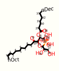 CCCCCCCC/C=C\CCCCCCCC(=O)C(OC(C(O)CO)P(=O)(O)O)[C@H](CO)OC(=O)CCCCCCCCCCCCCCC